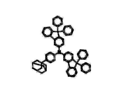 c1ccc(C2(c3ccccc3)c3ccccc3-c3cc(N(c4ccc(C56CC7CC(CC(C7)C5)C6)cc4)c4ccc5c(c4)-c4ccccc4C5(c4ccccc4)c4ccccc4)ccc32)cc1